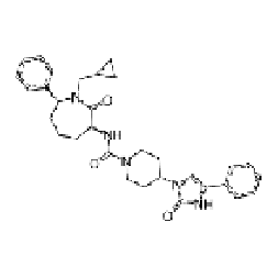 O=C(N[C@H]1CCC[C@@H](c2ccccc2)N(CC2CC2)C1=O)N1CCC(n2cc(-c3ccccc3)[nH]c2=O)CC1